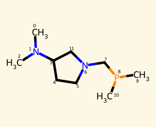 CN(C)C1CCN(CP(C)C)C1